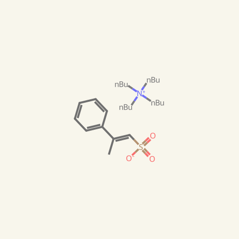 CC(=CS(=O)(=O)[O-])c1ccccc1.CCCC[N+](CCCC)(CCCC)CCCC